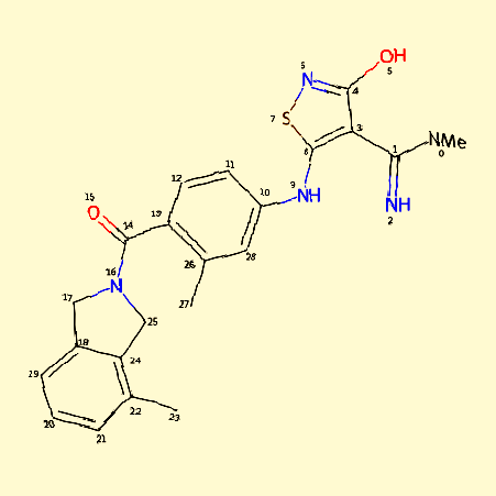 CNC(=N)c1c(O)nsc1Nc1ccc(C(=O)N2Cc3cccc(C)c3C2)c(C)c1